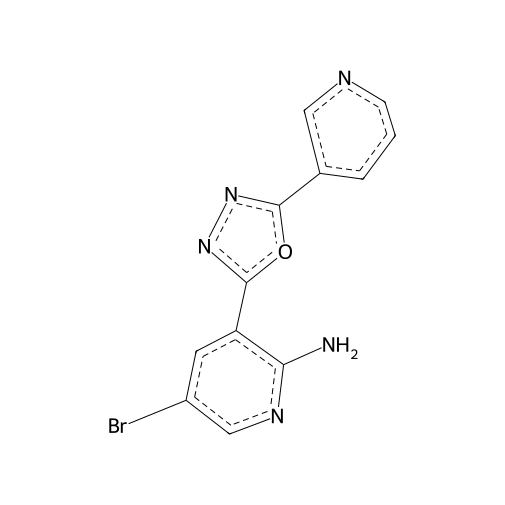 Nc1ncc(Br)cc1-c1nnc(-c2cccnc2)o1